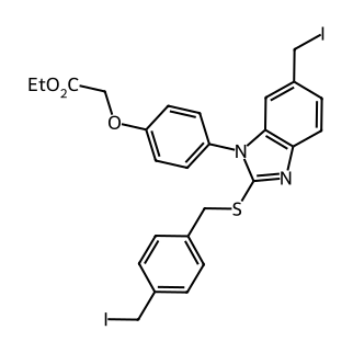 CCOC(=O)COc1ccc(-n2c(SCc3ccc(CI)cc3)nc3ccc(CI)cc32)cc1